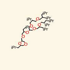 CC(C)CC(COCC(COC[C@@H](COCC(CC(C)C)C(C)C)C(C)C)OC(COCC1COCC(CC(C)C)O1)CC(C)C)OC[C@H](CC(C)C)C(C)C